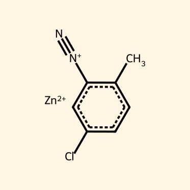 Cc1ccc(Cl)cc1[N+]#N.[Zn+2]